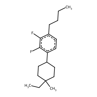 CCCCc1ccc(C2CCC(C)(CC)CC2)c(F)c1F